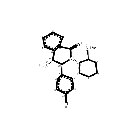 CC(=O)N[C@H]1CCCC[C@@H]1N1C(=O)c2ccccc2[C@@H](C(=O)O)[C@@H]1c1ccc(Cl)cc1